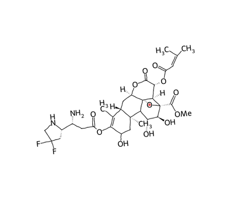 COC(=O)[C@@]12OC[C@]34C([C@@H](O)[C@@H]1O)[C@@]1(C)CC(O)C(OC(=O)C[C@@H](N)[C@@H]5CC(F)(F)CN5)=C(C)[C@@H]1C[C@H]3OC(=O)[C@H](OC(=O)C=C(C)C)[C@@H]24